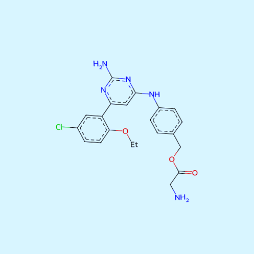 CCOc1ccc(Cl)cc1-c1cc(Nc2ccc(COC(=O)CN)cc2)nc(N)n1